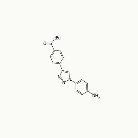 CC(C)(C)C(=O)c1ccc(-c2cn(-c3ccc(N)cc3)nn2)cc1